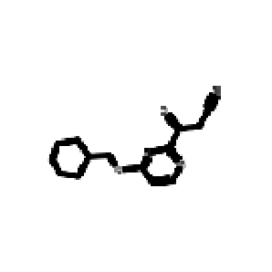 N#CCC(=O)c1nccc(OCC2CCCCC2)n1